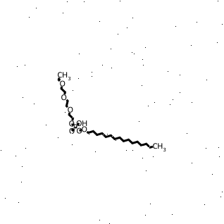 CCCCCCCCCCCCCCCCOOP(=O)(O)OCCOCCOCCOCC